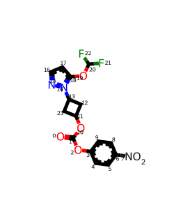 O=C(Oc1ccc([N+](=O)[O-])cc1)OC1CC(n2nccc2OC(F)F)C1